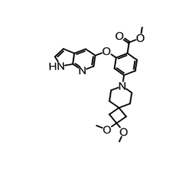 COC(=O)c1ccc(N2CCC3(CC2)CC(OC)(OC)C3)cc1Oc1cnc2[nH]ccc2c1